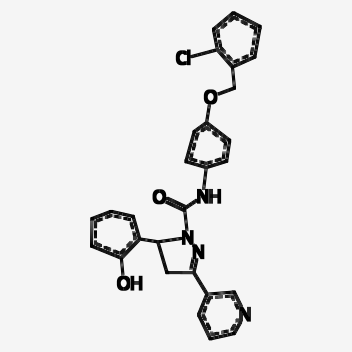 O=C(Nc1ccc(OCc2ccccc2Cl)cc1)N1N=C(c2cccnc2)CC1c1ccccc1O